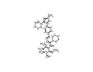 C/N=C(\C(NC(=O)[C@@H]1CCCC[C@H]1C(=O)c1ccc(-c2cc(C)nn2C2CCCCO2)cc1)=C(\C)N)[C@@H](N)O